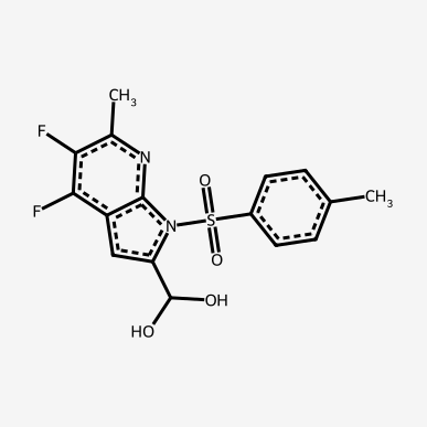 Cc1ccc(S(=O)(=O)n2c(C(O)O)cc3c(F)c(F)c(C)nc32)cc1